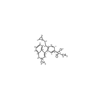 CN1C=C(c2cc(S(C)(=O)=O)ccc2CCC2CC2)c2ccccc2C1